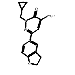 O=C(O)c1cc(-c2ccc3c(c2)CCO3)nn(CC2CC2)c1=O